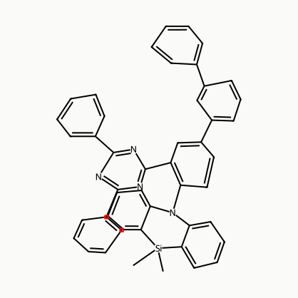 C[Si]1(C)c2ccccc2N(c2ccc(-c3cccc(-c4ccccc4)c3)cc2-c2nc(-c3ccccc3)nc(-c3ccccc3)n2)c2ccccc21